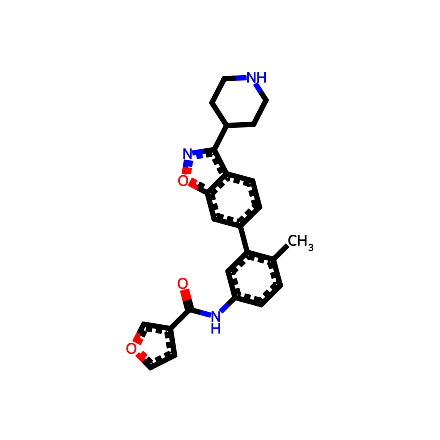 Cc1ccc(NC(=O)c2ccoc2)cc1-c1ccc2c(C3CCNCC3)noc2c1